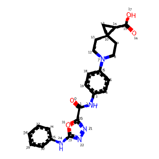 O=C(Nc1ccc(N2CCC3(CC2)CC3C(=O)O)cc1)c1nnc(Nc2ccccc2)o1